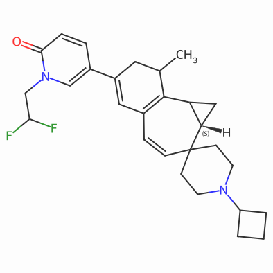 CC1CC(c2ccc(=O)n(CC(F)F)c2)=CC2=C1C1C[C@@H]1C1(C=C2)CCN(C2CCC2)CC1